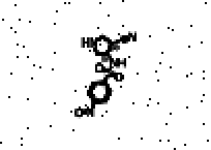 N#C[C@@H]1CNC[C@H]1NS(=O)(=O)c1ccc(N=O)cc1